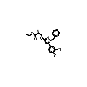 CCOC(=O)C(C)COc1cc(-c2ccc(Cl)c(Cl)c2)n(Cc2ccccc2)n1